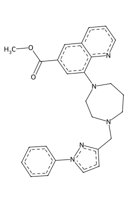 COC(=O)c1cc(N2CCCN(Cc3ccn(-c4ccccc4)n3)CC2)c2ncccc2c1